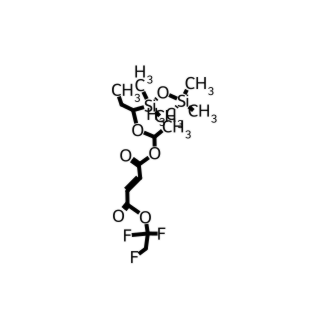 CCC(OC(C)OC(=O)/C=C/C(=O)OC(F)(F)CF)[Si](C)(C)O[Si](C)(C)C